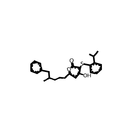 CC(CCCc1cc(O)c(Sc2ccccc2C(C)C)c(=O)o1)Cc1ccccc1